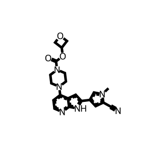 Cn1cc(-c2cc3c(N4CCN(C(=O)OC5COC5)CC4)ccnc3[nH]2)cc1C#N